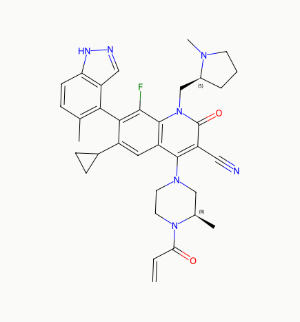 C=CC(=O)N1CCN(c2c(C#N)c(=O)n(C[C@@H]3CCCN3C)c3c(F)c(-c4c(C)ccc5[nH]ncc45)c(C4CC4)cc23)C[C@H]1C